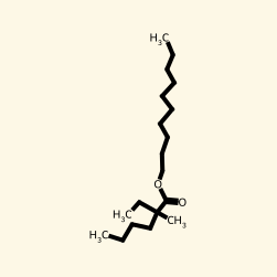 CCCCCCCCCCOC(=O)C(C)(CC)CCCC